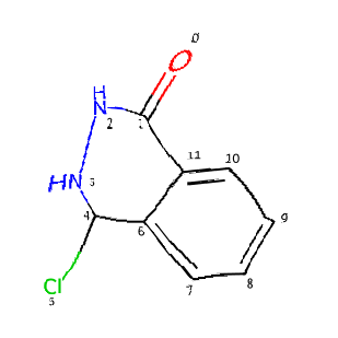 O=C1NNC(Cl)c2ccccc21